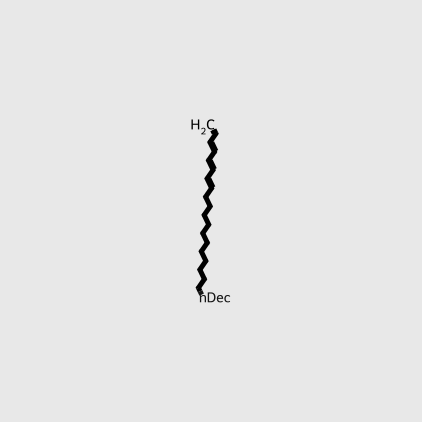 C=CC=CC=CC=CCCCCCCCCCCCCCCCCCCCCC